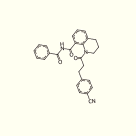 N#Cc1ccc(CCC(=O)N2CCCc3cccc(C(=O)NC(=O)c4ccccc4)c32)cc1